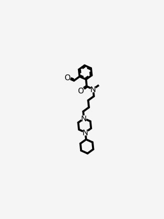 CN(CCCCN1CCN(C2CCCCC2)CC1)C(=O)c1ccccc1C=O